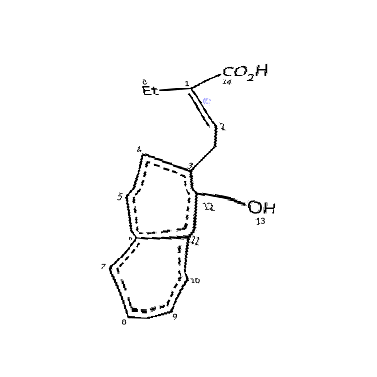 CC/C(=C\c1ccc2ccccc2c1O)C(=O)O